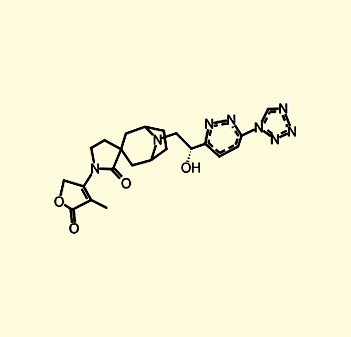 CC1=C(N2CCC3(CC4CCC(C3)N4C[C@@H](O)c3ccc(-n4cnnn4)nn3)C2=O)COC1=O